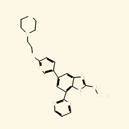 CCOC(=O)Nc1nc2cc(-c3ccc(OCCN4CCOCC4)nc3)cc(-c3ncccn3)c2[nH]1